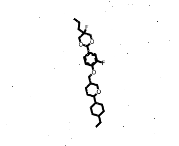 CCCC1(F)COC(c2ccc(OCC3CCC(C4CCC(CC)CC4)OC3)c(F)c2)OC1